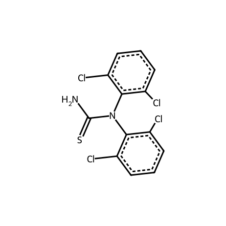 NC(=S)N(c1c(Cl)cccc1Cl)c1c(Cl)cccc1Cl